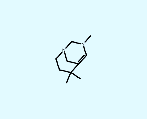 CN1C=C2CN(CCC2(C)C)C1